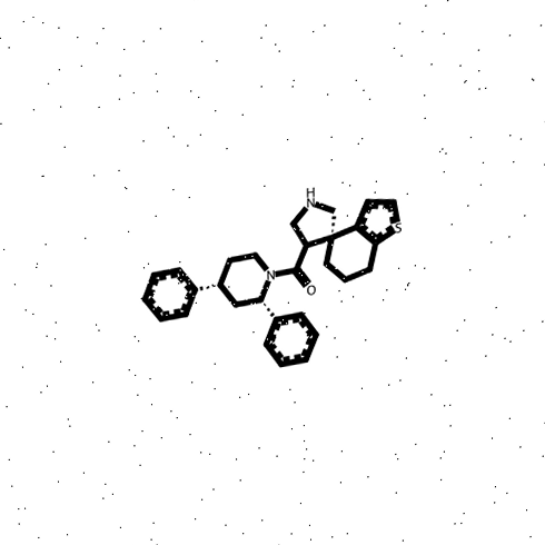 O=C(C1CNC[C@]12CCCc1sccc12)N1CC[C@@H](c2ccccc2)C[C@H]1c1ccccc1